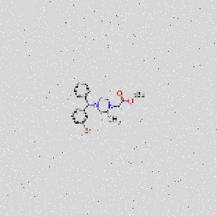 C[C@@H]1CN([C@H](c2ccccc2)c2cccc(Br)c2)CCN1CC(=O)OC(C)(C)C